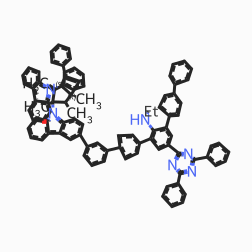 C=C(c1ccccc1)C(C)(C(C)[C@@]1(C)C=C(c2ccccc2)[C@H]1n1c2ccccc2c2ccccc21)n1c2ccccc2c2cc(-c3cccc(-c4ccc(-c5cc(-c6nc(-c7ccccc7)nc(-c7ccccc7)n6)cc(-c6ccc(-c7ccccc7)cc6)c5NCC)cc4)c3)ccc21